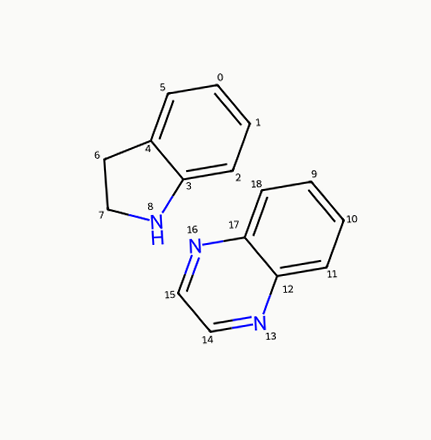 c1ccc2c(c1)CCN2.c1ccc2nccnc2c1